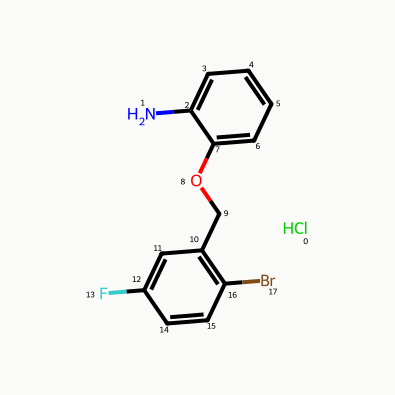 Cl.Nc1ccccc1OCc1cc(F)ccc1Br